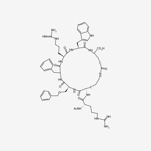 CC(=O)N[C@@H](CCCNC(=N)N)C(=O)N[C@H]1CCCNC(=O)CCC(C(=O)O)NC(=O)[C@H](Cc2c[nH]c3ccccc23)NC(=O)[C@H](CCCNC(=N)N)NC(=O)C(Cc2ccccc2)NC(=O)[C@H](COCc2ccccc2)NC1=O